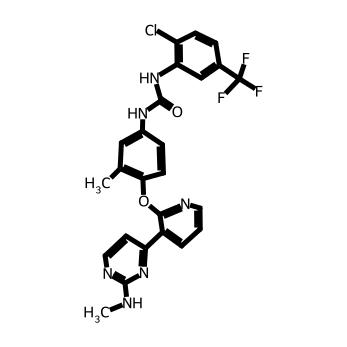 CNc1nccc(-c2cccnc2Oc2ccc(NC(=O)Nc3cc(C(F)(F)F)ccc3Cl)cc2C)n1